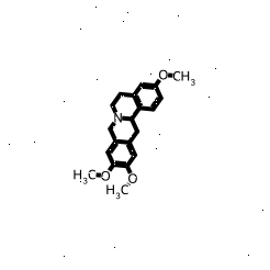 COc1ccc2c(c1)CCN1Cc3cc(OC)c(OC)cc3CC21